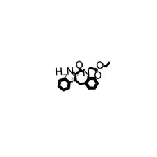 CCOC(=O)CN1C(=O)[C@@H](N)[C@H](c2ccccc2)Cc2ccccc21